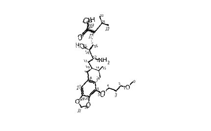 COCCCOc1cc(C[C@@H](C[C@H](N)[C@@H](O)C[C@H](C(=O)O)C(C)C)C(C)C)cc2c1OCO2